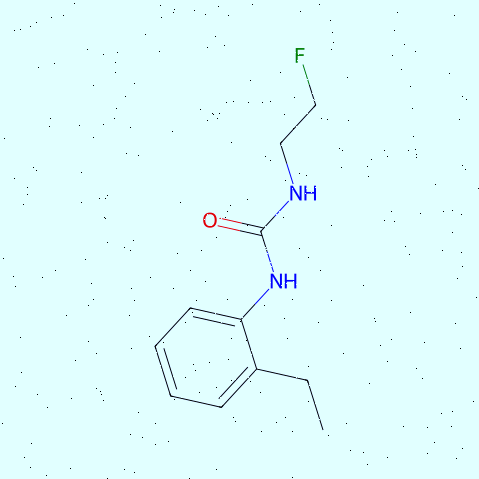 CCc1ccccc1NC(=O)NCCF